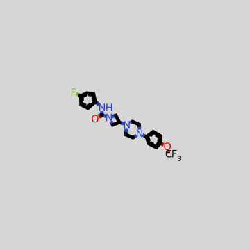 O=C(Nc1ccc(F)cc1)N1CC(N2CCN(c3ccc(OC(F)(F)F)cc3)CC2)C1